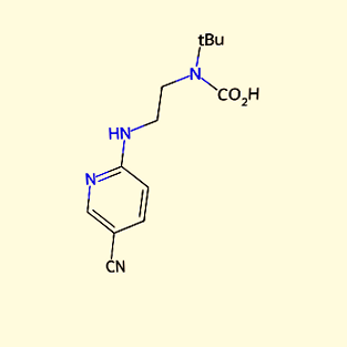 CC(C)(C)N(CCNc1ccc(C#N)cn1)C(=O)O